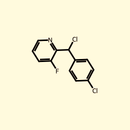 Fc1cccnc1C(Cl)c1ccc(Cl)cc1